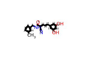 Cc1cccc(CNC(=O)/C(C#N)=C/C=C/c2cc(O)cc(O)c2)c1